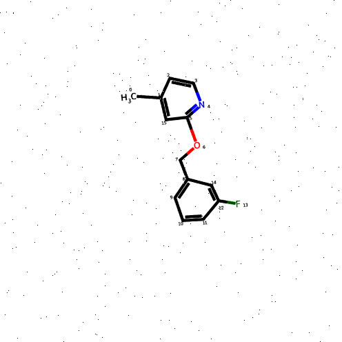 Cc1ccnc(OCc2cccc(F)c2)c1